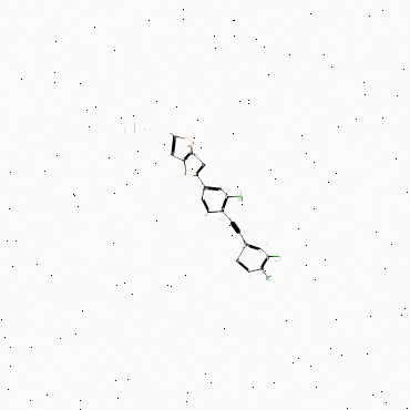 CCCCCc1cc2sc(-c3ccc(C#Cc4ccc(F)c(F)c4)c(F)c3)cc2s1